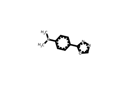 CN(C)c1ccc(-c2nn[c]o2)cc1